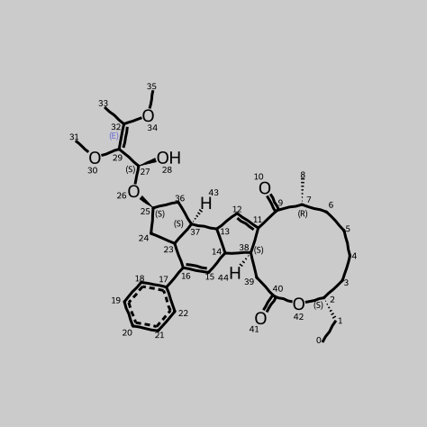 CC[C@H]1CCCC[C@@H](C)C(=O)C2=CC3C(C=C(c4ccccc4)C4C[C@@H](O[C@H](O)/C(OC)=C(/C)OC)C[C@H]43)[C@@H]2CC(=O)O1